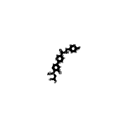 CC(=O)N(CC(F)F)c1ccc(-c2ccc(C(=O)NCc3ccc(F)nc3)cn2)cc1Cl